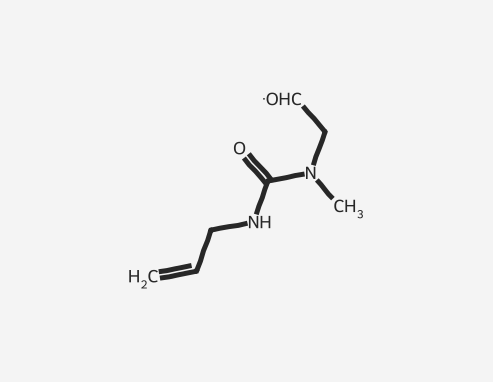 C=CCNC(=O)N(C)C[C]=O